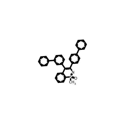 CS1(=O)=NC(c2ccc(-c3ccccc3)cc2)=C(c2cccc(-c3ccccc3)c2)c2ccccc21